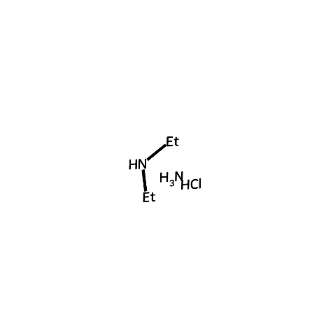 CCNCC.Cl.N